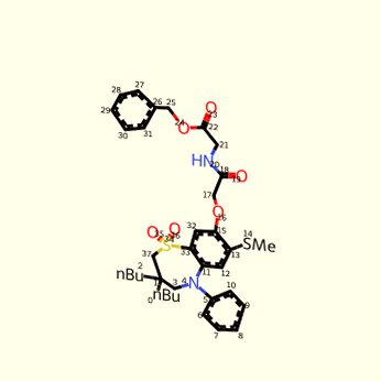 CCCCC1(CCCC)CN(c2ccccc2)c2cc(SC)c(OCC(=O)NCC(=O)OCc3ccccc3)cc2S(=O)(=O)C1